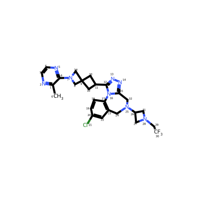 Cc1nccnc1N1CC2(CC(c3nnc4n3-c3ccc(Cl)cc3CN(C3CN(CC(F)(F)F)C3)C4)C2)C1